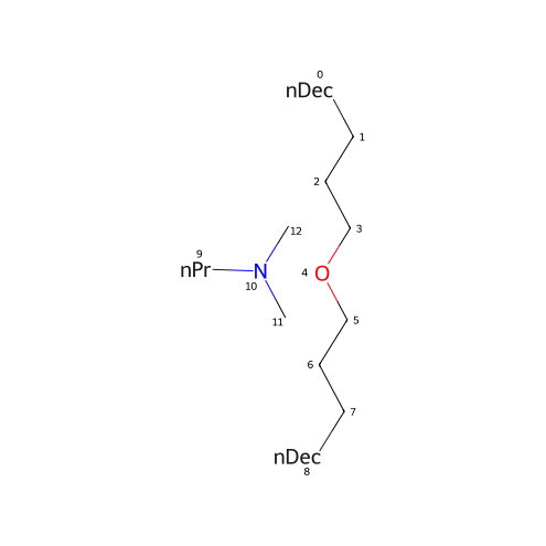 CCCCCCCCCCCCCOCCCCCCCCCCCCC.CCCN(C)C